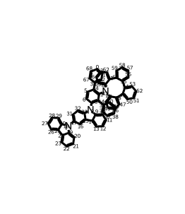 c1ccc(-c2ccc(-n3c4ccccc4c4cc(-n5c6ccccc6c6ccccc65)ccc43)c(-c3ccccc3)c2-n2c3ccccc3c3ccccc3c3ccccc3c3ccccc32)cc1